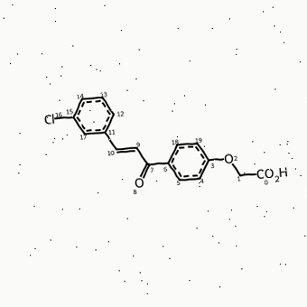 O=C(O)COc1ccc(C(=O)C=Cc2cccc(Cl)c2)cc1